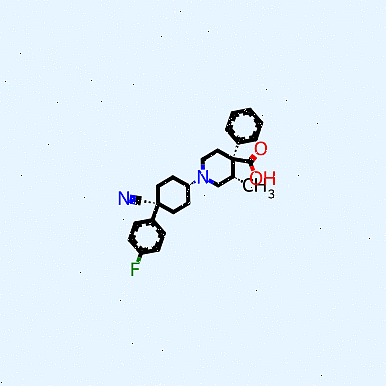 C[C@@H]1CN([C@H]2CC[C@](C#N)(c3ccc(F)cc3)CC2)CC[C@]1(C(=O)O)c1ccccc1